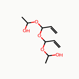 C=CC(OC(C)O)OC(C=C)OC(C)O